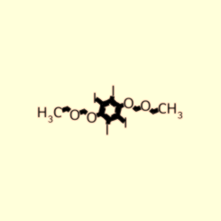 CCOCOc1c(I)c(I)c(OCOCC)c(I)c1I